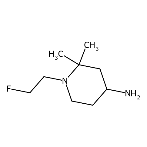 CC1(C)CC(N)CCN1CCF